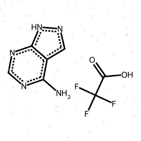 Nc1ncnc2[nH]ncc12.O=C(O)C(F)(F)F